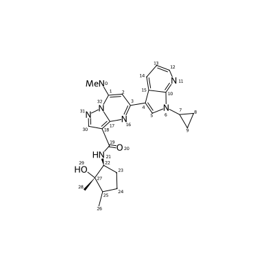 CNc1cc(-c2cn(C3CC3)c3ncccc23)nc2c(C(=O)N[C@H]3CCC(C)[C@]3(C)O)cnn12